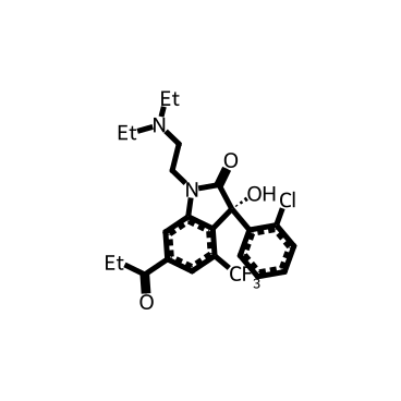 CCC(=O)c1cc2c(c(C(F)(F)F)c1)[C@](O)(c1ccccc1Cl)C(=O)N2CCN(CC)CC